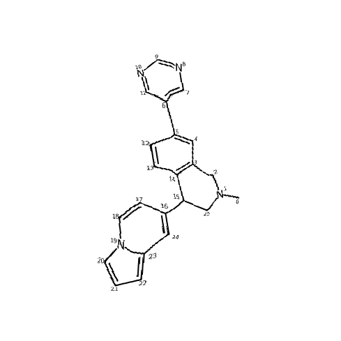 CN1Cc2cc(-c3cncnc3)ccc2C(c2ccn3cccc3c2)C1